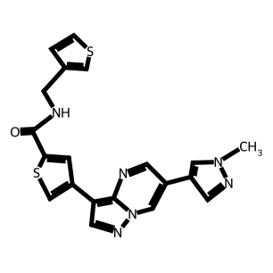 Cn1cc(-c2cnc3c(-c4csc(C(=O)NCc5ccsc5)c4)cnn3c2)cn1